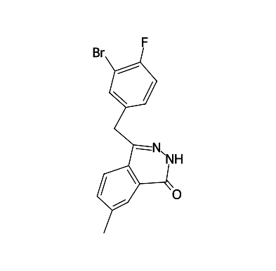 Cc1ccc2c(Cc3ccc(F)c(Br)c3)n[nH]c(=O)c2c1